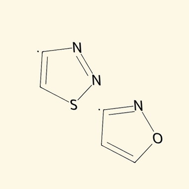 [c]1ccon1.[c]1csnn1